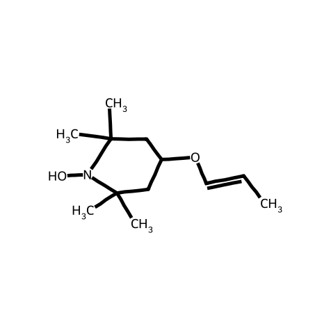 C/C=C/OC1CC(C)(C)N(O)C(C)(C)C1